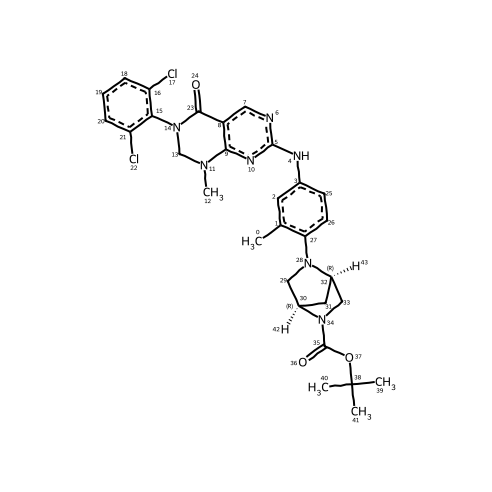 Cc1cc(Nc2ncc3c(n2)N(C)CN(c2c(Cl)cccc2Cl)C3=O)ccc1N1C[C@H]2C[C@@H]1CN2C(=O)OC(C)(C)C